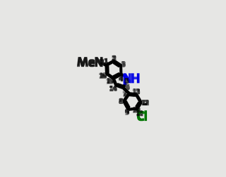 CNc1ccc2[nH]c(-c3ccc(Cl)cc3)cc2c1